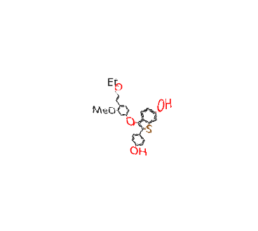 CCOC/C=C/c1ccc(Oc2c(-c3ccc(O)cc3)sc3cc(O)ccc23)cc1OC